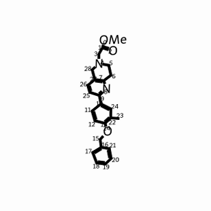 COC(=O)CN1CCc2nc(-c3ccc(OCc4ccccc4)c(C)c3)ccc2C1